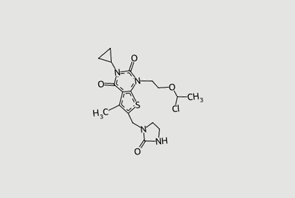 Cc1c(CN2CCNC2=O)sc2c1c(=O)n(C1CC1)c(=O)n2CCOC(C)Cl